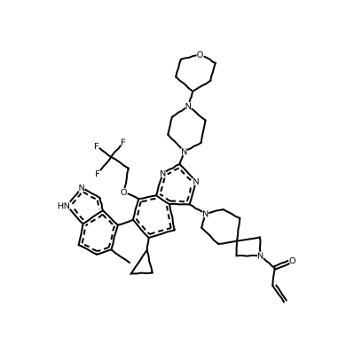 C=CC(=O)N1CC2(CCN(c3nc(N4CCN(C5CCOCC5)CC4)nc4c(OCC(F)(F)F)c(-c5c(C)ccc6[nH]ncc56)c(C5CC5)cc34)CC2)C1